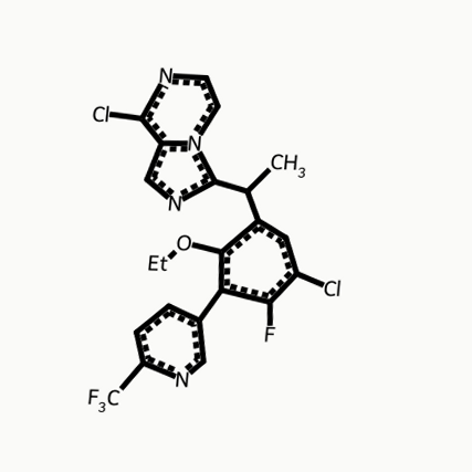 CCOc1c(C(C)c2ncc3c(Cl)nccn23)cc(Cl)c(F)c1-c1ccc(C(F)(F)F)nc1